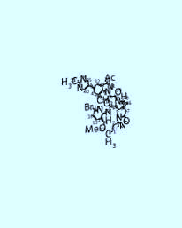 C/C=C/c1noc(C[C@@]23C[C@@H](C(=O)Nc4nc(Br)ccc4COC)N(C(=O)Cn4nc(C(C)=O)c5cc(-c6cnc(C)nc6)cc(C)c54)[C@@H]2C3)n1